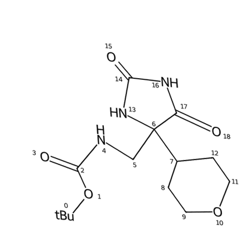 CC(C)(C)OC(=O)NCC1(C2CCOCC2)NC(=O)NC1=O